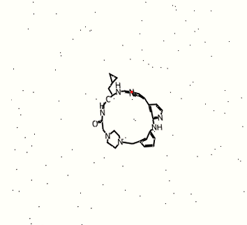 O=C1CN2CCN(CC2)Cc2cccc(c2)Nc2cc(ccn2)-c2cnc(nc2)NC(CC2CC2)CCN1